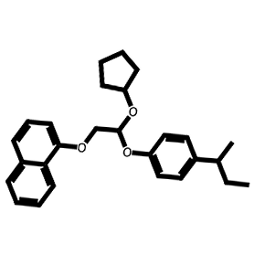 CCC(C)c1ccc(OC(COc2cccc3ccccc23)OC2CCCC2)cc1